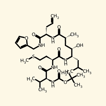 C=CC[C@H](NC(=O)[C@H](C)C[C@H](O)[C@H](CC(C)C)NC(=O)[C@H](CCSC)NC(=O)[C@@H](NC(=O)OC(C)(C)C)C(C)C)C(=O)NCc1ccco1